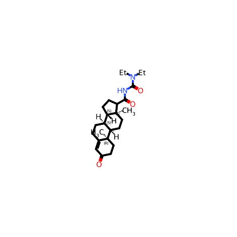 CCN(CC)C(=O)NC(=O)C1CC[C@H]2[C@@H]3CCC4=CC(=O)CC[C@]4(C)[C@@H]3CC[C@]12C